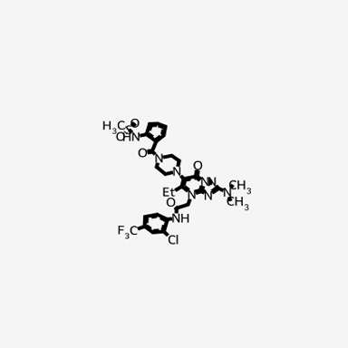 CCc1c(N2CCN(C(=O)c3ccccc3NS(C)(=O)=O)CC2)c(=O)n2nc(N(C)C)nc2n1CC(=O)Nc1ccc(C(F)(F)F)cc1Cl